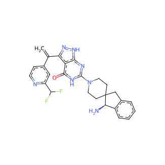 C=C(c1ccnc(C(F)F)c1)c1n[nH]c2nc(N3CCC4(CC3)Cc3ccccc3[C@H]4N)[nH]c(=O)c12